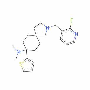 CN(C)C1(c2cccs2)CCC2(CCN(Cc3cccnc3F)C2)CC1